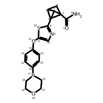 NC(=O)C12CC(C1)C2c1ncc(Oc2ccc(N3CCOCC3)cc2)s1